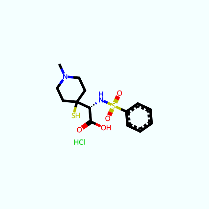 CN1CCC(S)([C@H](NS(=O)(=O)c2ccccc2)C(=O)O)CC1.Cl